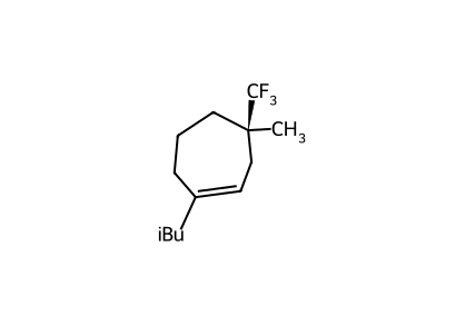 CCC(C)C1=CC[C@](C)(C(F)(F)F)CCC1